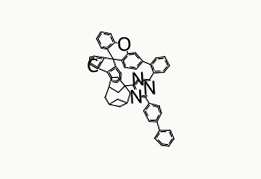 c1ccc(-c2ccc(-c3nc(-c4ccccc4-c4ccc5c(c4)Oc4ccccc4C54c5ccccc5-c5ccccc54)nc(C45CCC(CC6CC(C6)C4)C5)n3)cc2)cc1